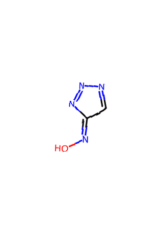 ON=C1C=NN=N1